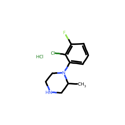 CC1CNCCN1c1cccc(F)c1Cl.Cl